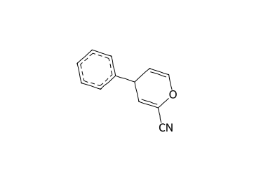 N#CC1=CC(c2ccccc2)C=CO1